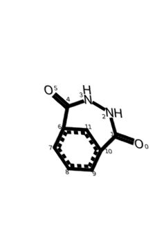 O=C1NNC(=O)c2cccc1c2